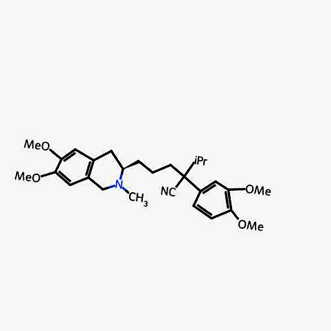 COc1ccc(C(C#N)(CCC[C@@H]2Cc3cc(OC)c(OC)cc3CN2C)C(C)C)cc1OC